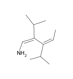 C/C=C(\C(=C/N)C(C)C)C(C)C